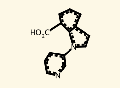 O=C(O)c1cccc2ccn(-c3cccnc3)c12